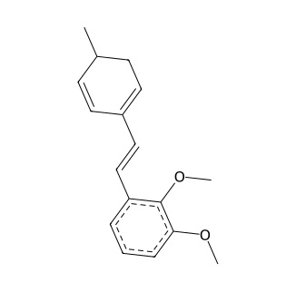 COc1cccc(/C=C/C2=CCC(C)C=C2)c1OC